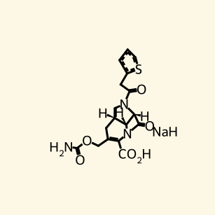 NC(=O)OCC1=C(C(=O)O)N2C(=O)[C@@H]3[C@H]2[C@H](C1)CN3C(=O)Cc1cccs1.[NaH]